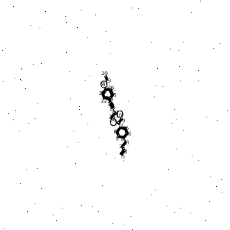 C=CCC[C@H]1CC[C@H](C2CO[C@@H](C#Cc3ccc(OCC)cc3)CO2)CC1